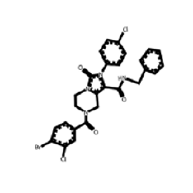 O=C(NCc1ccccc1)c1c2n(c(=O)n1-c1ccc(Cl)cc1)CCN(C(=O)c1ccc(Br)c(Cl)c1)C2